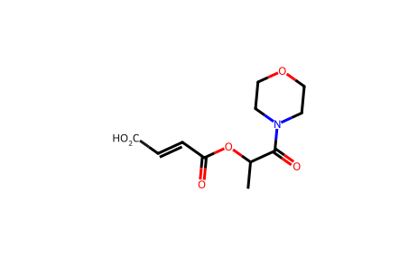 CC(OC(=O)C=CC(=O)O)C(=O)N1CCOCC1